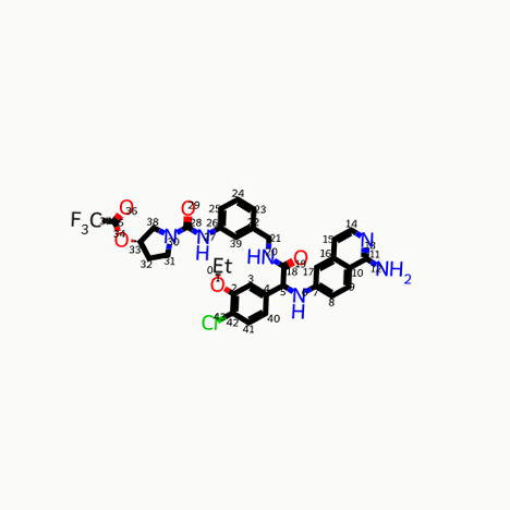 CCOc1cc(C(Nc2ccc3c(N)nccc3c2)C(=O)NCc2cccc(NC(=O)N3CC[C@H](OC(=O)C(F)(F)F)C3)c2)ccc1Cl